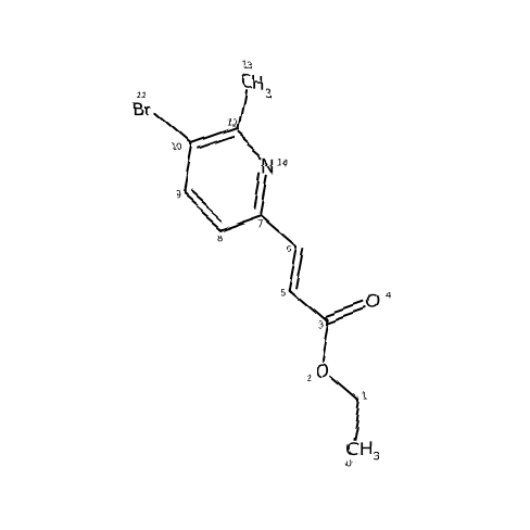 CCOC(=O)/C=C/c1ccc(Br)c(C)n1